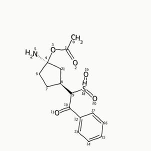 CC(=O)O[C@]1(N)CC[C@H](C(C(=O)c2ccccc2)[SH](=O)=O)C1